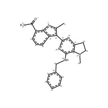 Cc1sc2c(C(N)=O)cccc2c1-c1nc2c(c(NCc3ccccc3)n1)N(C)CC2